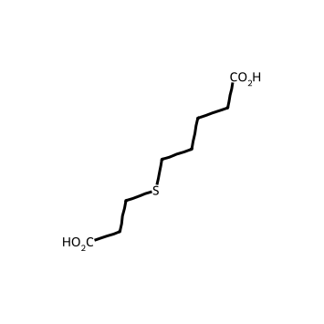 O=C(O)CCCCSCCC(=O)O